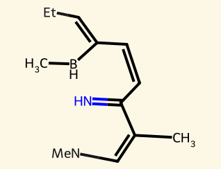 CBC(/C=C\C(=N)/C(C)=C\NC)=C\CC